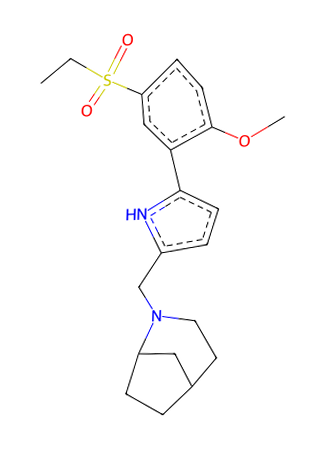 CCS(=O)(=O)c1ccc(OC)c(-c2ccc(CN3CCC4CCC3C4)[nH]2)c1